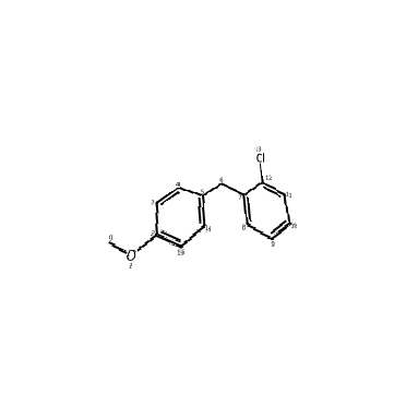 COc1ccc(Cc2ccccc2Cl)cc1